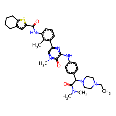 CCN1CCN(C(C(=O)N(C)C)c2ccc(Nc3nc(-c4cccc(NC(=O)c5cc6c(s5)CCCC6)c4C)cn(C)c3=O)cc2)CC1